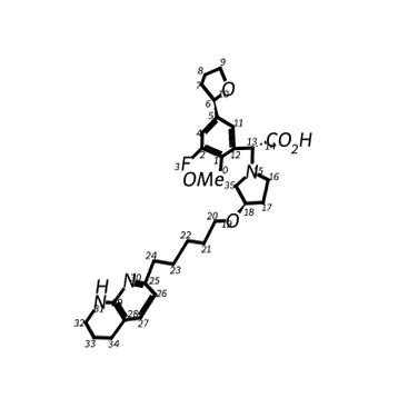 COc1c(F)cc([C@H]2CCCO2)cc1[C@H](C(=O)O)N1CC[C@@H](OCCCCCc2ccc3c(n2)NCCC3)C1